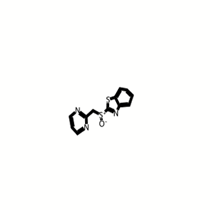 [O-][S+](Cc1ncccn1)c1nc2ccccc2s1